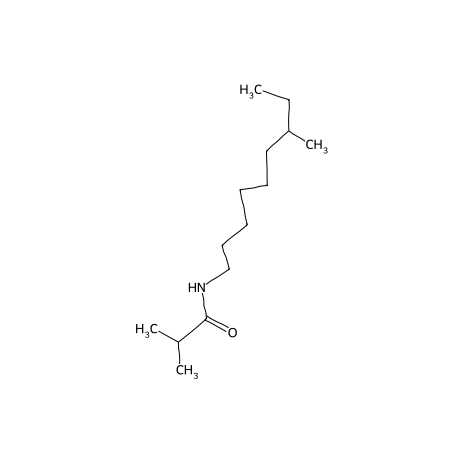 CCC(C)CCCCCCNC(=O)C(C)C